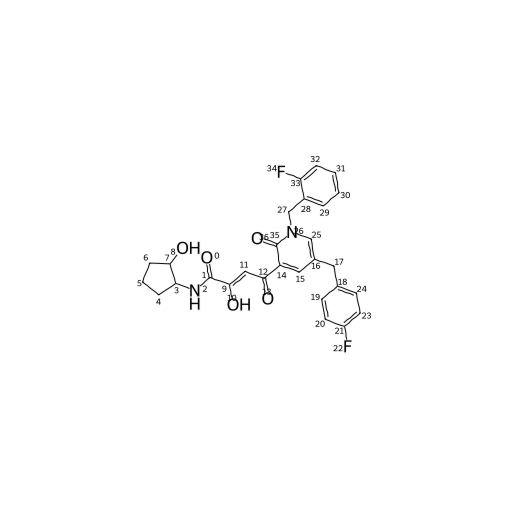 O=C(NC1CCCC1O)C(O)=CC(=O)c1cc(Cc2ccc(F)cc2)cn(Cc2ccccc2F)c1=O